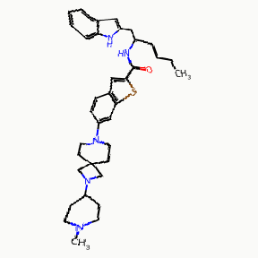 CCCCC(Cc1cc2ccccc2[nH]1)NC(=O)c1cc2ccc(N3CCC4(CC3)CN(C3CCN(C)CC3)C4)cc2s1